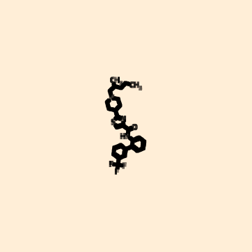 CCCC(C)CN1CCC(c2nc(C(=O)Nc3ccccc3-c3cccc(C(F)(F)F)c3)cs2)CC1